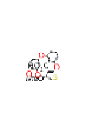 COc1csc(Oc2cccc(Oc3ccc4c(c3)OCO4)c2C(=O)O)c1